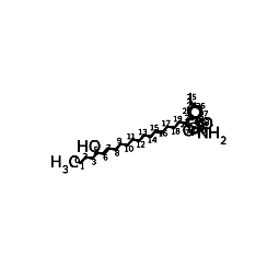 CCCCC(O)C=CCCCCCCCC=CCCCC(=O)c1cc(I)ccc1S(N)(=O)=O